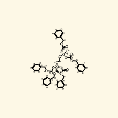 C[Si](OCO[Si](OC(=O)OCc1ccccc1)(OC(=O)OCc1ccccc1)C(=O)OCc1ccccc1)(OC(=O)OCc1ccccc1)OC(=O)OCc1ccccc1